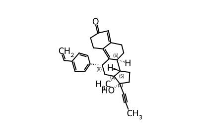 C=Cc1ccc([C@H]2C[C@@]3(C)[C@@H](CC[C@@]3(O)C#CC)[C@@H]3CCC4=CC(=O)CCC4=C32)cc1